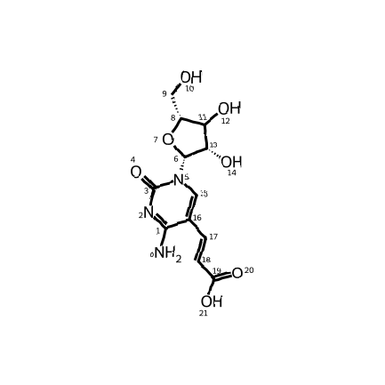 Nc1nc(=O)n([C@@H]2O[C@H](CO)C(O)[C@@H]2O)cc1/C=C/C(=O)O